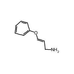 NCC=COc1ccccc1